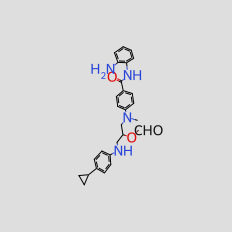 CN(CC(CNc1ccc(C2CC2)cc1)OC=O)c1ccc(C(=O)Nc2ccccc2N)cc1